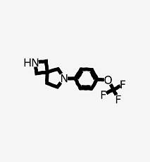 FC(F)(F)Oc1ccc(N2CCC3(CNC3)C2)cc1